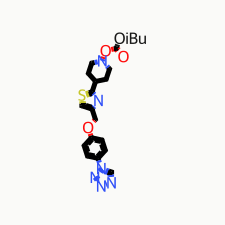 CC(C)COC(=O)ON1CCC(c2nc(COc3ccc(-n4cnnn4)cc3)cs2)CC1